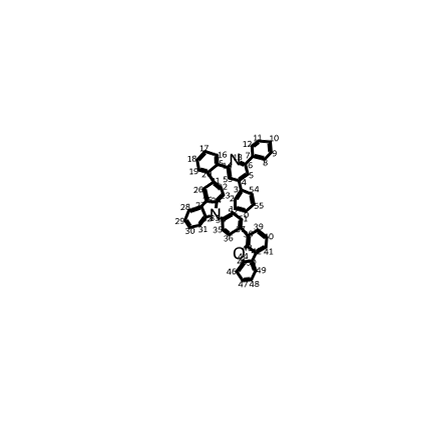 c1ccc(-c2cc(-c3ccccc3)nc(-c3ccccc3-c3ccc4c(c3)c3ccccc3n4-c3ccc(-c4cccc5c4oc4ccccc45)cc3)c2)cc1